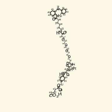 CC(C)[C@H](NC(=O)CCOCCOCCOCCOCCC(=O)NCCCCCC(=O)N1Cc2ccccc2C2=C(C2)c2ccccc21)C(=O)NCC(=O)Nc1ccc(COC(=O)CCCC(=O)O)cc1